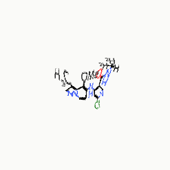 [2H]C([2H])([2H])NC(=O)c1cnc(Cl)cc1Nc1ccn2ncc(C)c2c1OC